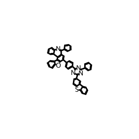 c1ccc(-c2nc(-c3ccc(-c4cc5c(-c6ccccc6)nc6ccccc6c5c5c4oc4ccccc45)cc3)nc(-c3ccc4sc5ccccc5c4c3)n2)cc1